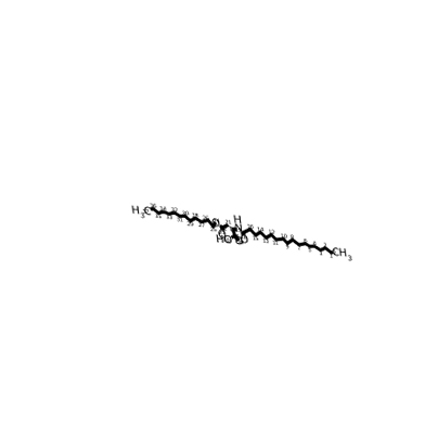 CCCCCCCCCCCCCCCCCC(=O)N[C@@H](CC(=O)OCCCCCCCCCCCCC)C(=O)O